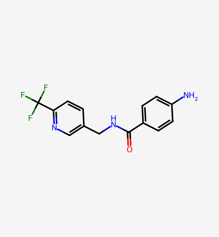 Nc1ccc(C(=O)NCc2ccc(C(F)(F)F)nc2)cc1